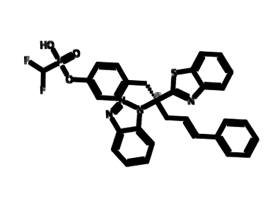 O=P(O)(Oc1ccc(C[C@@](CC=Cc2ccccc2)(c2nc3ccccc3s2)n2nnc3ccccc32)cc1)C(F)F